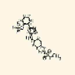 CCS(=O)(=O)NC[C@H]1CC[C@H](Nc2nc(-c3ccccc3OC(F)(F)F)no2)CC1